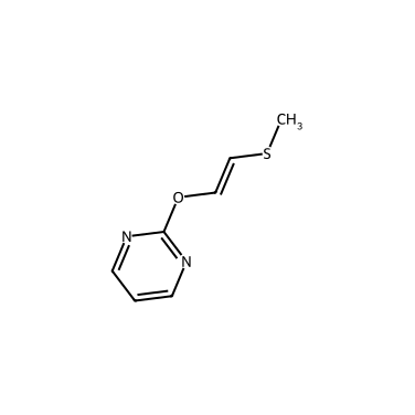 CSC=COc1ncccn1